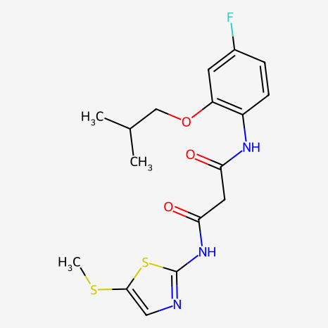 CSc1cnc(NC(=O)CC(=O)Nc2ccc(F)cc2OCC(C)C)s1